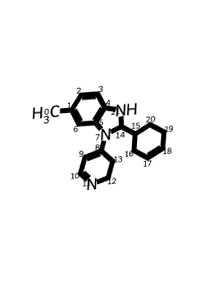 Cc1ccc2c(c1)N(C1=CC=NCC1)C(C1CC=CCC1)N2